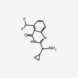 NC(c1nc2cccc(C(F)F)c2c(=O)[nH]1)C1CC1